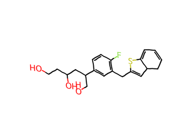 OCCC(O)CC(CO)c1ccc(F)c(CC2=CC3CC=CC=C3S2)c1